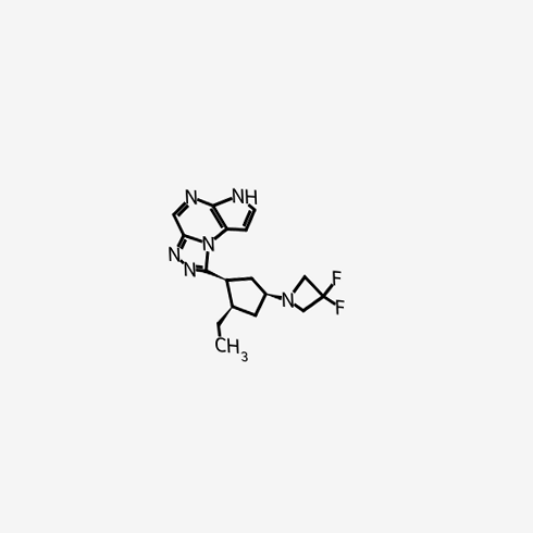 CC[C@@H]1C[C@H](N2CC(F)(F)C2)C[C@@H]1c1nnc2cnc3[nH]ccc3n12